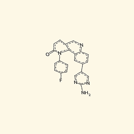 Nc1ncc(-c2ccc3ncc4ccc(=O)n(-c5ccc(F)cc5)c4c3c2)cn1